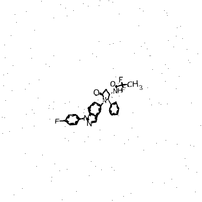 CC(F)(F)C(=O)N[C@H]1CC(=O)N(c2ccc3c(cnn3-c3ccc(F)cc3)c2)[C@@H]1c1ccccc1